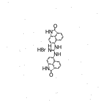 Br.N=C(Nc1ccc2c3c(cccc13)C(=O)N2)Nc1ccc2c3c(cccc13)C(=O)N2